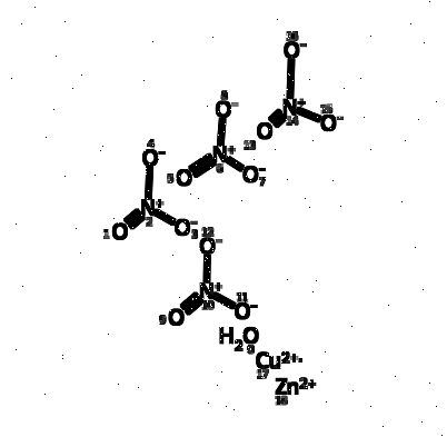 O.O=[N+]([O-])[O-].O=[N+]([O-])[O-].O=[N+]([O-])[O-].O=[N+]([O-])[O-].[Cu+2].[Zn+2]